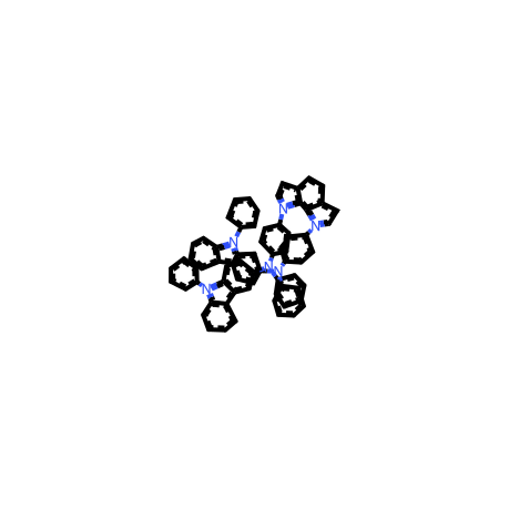 c1ccc(N(c2ccc(-n3ccc4ccc5ccn(-c6ccc(N(c7ccccc7)c7ccc8c9ccccc9n(-c9ccccc9)c8c7)cc6)c5c43)cc2)c2ccc3c(c2)c2ccccc2n3-c2ccccc2)cc1